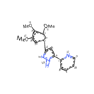 COc1cc(-c2cc(-c3ccccn3)[nH]n2)cc(OC)c1OC